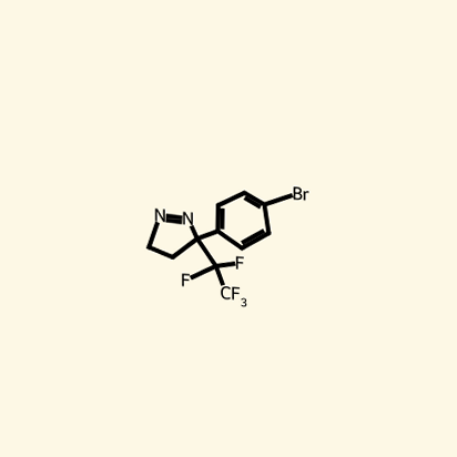 FC(F)(F)C(F)(F)C1(c2ccc(Br)cc2)CCN=N1